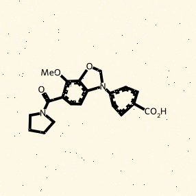 COc1c(C(=O)N2CCCC2)ccc2c1OCN2c1ccc(C(=O)O)cc1